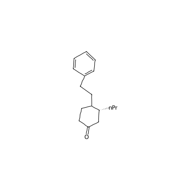 CCC[C@@H]1CC(=O)CCC1CCc1ccccc1